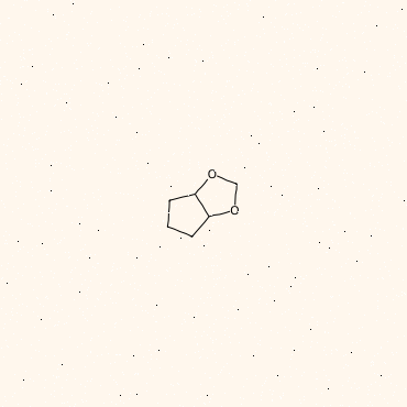 C1CC2OCOC2C1